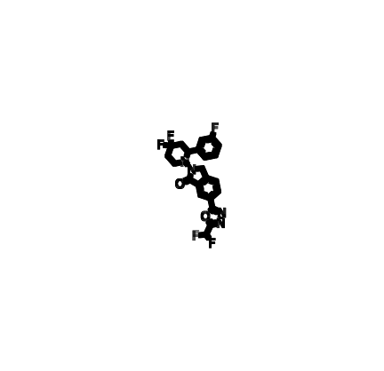 O=C1c2cc(-c3nnc(C(F)F)o3)ccc2CN1N1CCC(F)(F)CC1c1cccc(F)c1